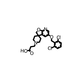 O=C(O)CCN1CCC2(CC1)COc1ncc(OCc3c(Cl)cccc3Cl)cc12